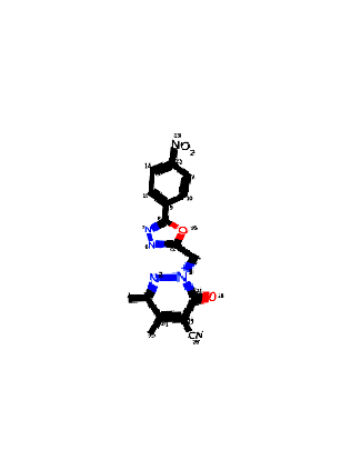 Cc1nn(Cc2nnc(-c3ccc([N+](=O)[O-])cc3)o2)c(=O)c(C#N)c1C